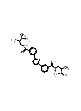 CC(CNC(=N)c1cccc(-c2ccc(-c3cccc(C(=N)NCC(C)N(C)C)c3)o2)c1)N(C)C